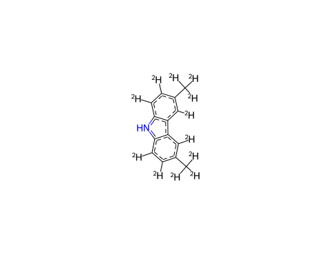 [2H]c1c(C([2H])([2H])[2H])c([2H])c2c([nH]c3c([2H])c([2H])c(C([2H])([2H])[2H])c([2H])c32)c1[2H]